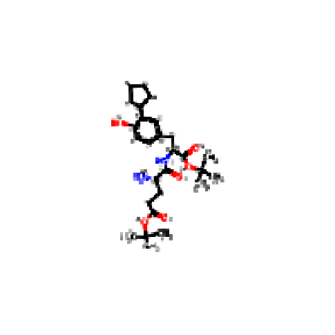 CC(C)(C)OC(=O)CC[C@H](N)C(=O)N[C@@H](Cc1ccc(O)c(C2CCCC2)c1)C(=O)OC(C)(C)C